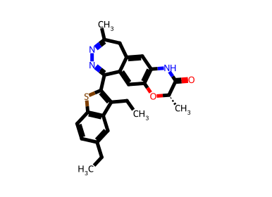 CCc1ccc2sc(C3=NN=C(C)Cc4cc5c(cc43)O[C@@H](C)C(=O)N5)c(CC)c2c1